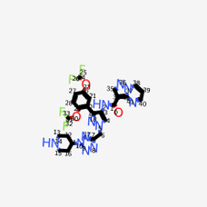 O=C(Nc1cn(Cc2nnn(C3CCNCC3)n2)nc1-c1cc(OC(F)F)ccc1OC(F)F)c1cnn2cccnc12